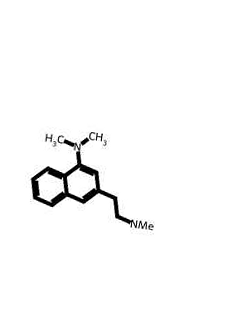 CNCCc1cc(N(C)C)c2ccccc2c1